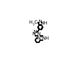 Cc1n[nH]c2ccc(-c3nncc([N+]45CCCCC4CNCC5)n3)cc12